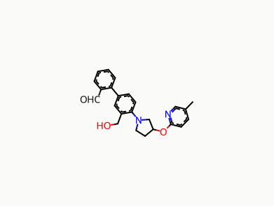 Cc1ccc(OC2CCN(c3ccc(-c4ccccc4C=O)cc3CO)C2)nc1